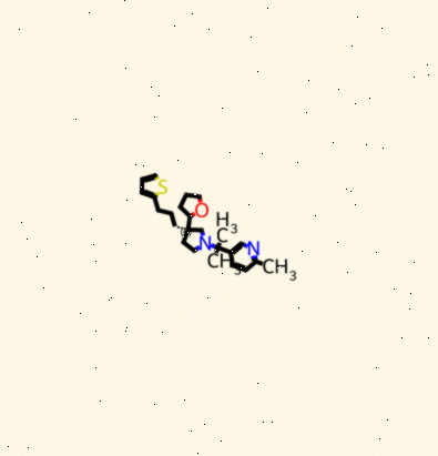 Cc1ccc(C(C)(C)N2CC[C@@](CCCc3cccs3)(C3CCCO3)C2)cn1